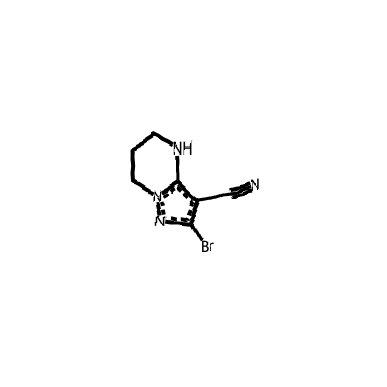 N#Cc1c(Br)nn2c1NCCC2